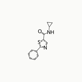 O=C(NC1CC1)c1cnc(-c2ccccc2)s1